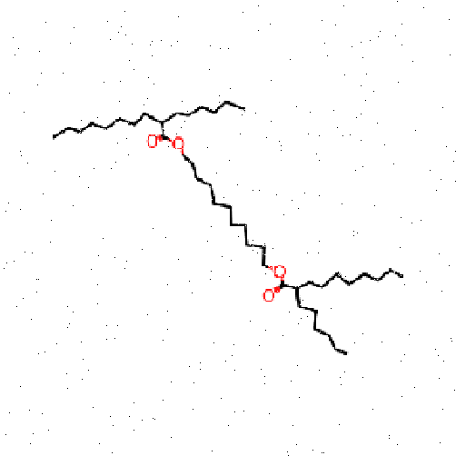 CCCCCCCCC(CCCCCC)C(=O)OCCCCCCCCCCCOC(=O)C(CCCCCC)CCCCCCCC